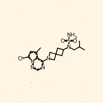 Cc1cc(Cl)n2ncnc(N3CC4(CC(N(CC(C)C)S(N)(=O)=O)C4)C3)c12